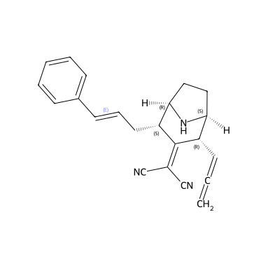 C=C=C[C@@H]1C(=C(C#N)C#N)[C@H](C/C=C/c2ccccc2)[C@H]2CC[C@@H]1N2